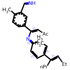 C/C=C(\C=C/C(C)=N/C(=C\C(C)=O)c1ccc(C)c(C=N)c1)C(=C/CC)/CCC